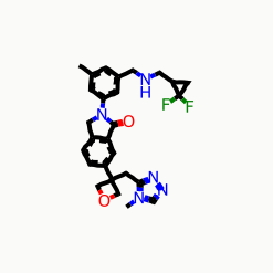 Cc1cc(CNCC2CC2(F)F)cc(N2Cc3ccc(C4(Cc5nncn5C)COC4)cc3C2=O)c1